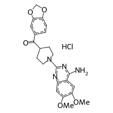 COc1cc2nc(N3CCC(C(=O)c4ccc5c(c4)OCO5)CC3)nc(N)c2cc1OC.Cl